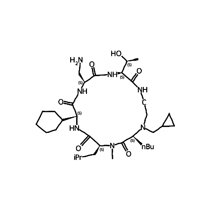 CCCC[C@H]1C(=O)N(C)[C@@H](CC(C)C)C(=O)N[C@@H](C2CCCCC2)C(=O)N[C@@H](CN)C(=O)N[C@@H]([C@H](C)O)C(=O)NCCN1CC1CC1